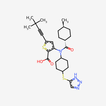 CC(C)(C)C#Cc1cc(N(C(=O)[C@H]2CC[C@H](C)CC2)C2CCC(Sc3cnn[nH]3)CC2)c(C(=O)O)s1